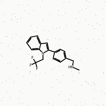 CNCc1ccc(-c2cc3ccccc3n2CC(F)(F)F)cc1